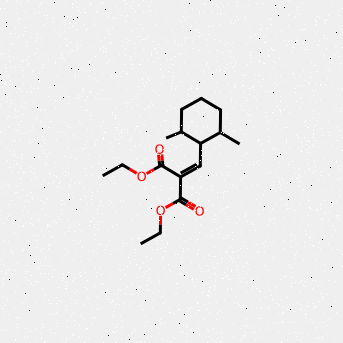 CCOC(=O)C(=CC1C(C)CCCC1C)C(=O)OCC